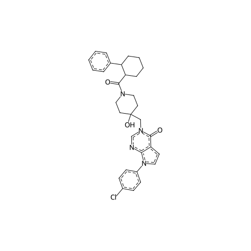 O=C(C1CCCCC1c1ccccc1)N1CCC(O)(Cn2cnc3c(ccn3-c3ccc(Cl)cc3)c2=O)CC1